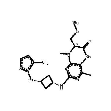 Cc1nc(N[C@H]2C[C@@H](Nn3nccc3C(F)(F)F)C2)nc2c1NC(=O)[C@H](COC(C)(C)C)N2C